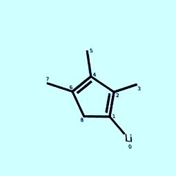 [Li][C]1=C(C)C(C)=C(C)C1